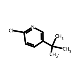 [CH2]C(C)(C)c1ccc(Cl)nc1